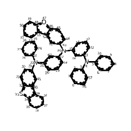 c1ccc(N(c2ccccc2)c2cccc(N(c3cccc(N(c4ccccc4)c4ccc5sc6ccccc6c5c4)c3)c3ccc4oc5ccccc5c4c3)c2)cc1